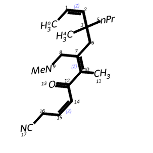 C/C=C\C(C)(CCC)C/C(CNC)=C(\C)C(=O)/C=C\CC#N